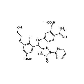 CC(=O)O.COc1cc(OCCO)c(F)c(C(Nc2ccc(C(=N)N)c(F)c2)c2nn(-c3ncccn3)c(=O)[nH]2)c1